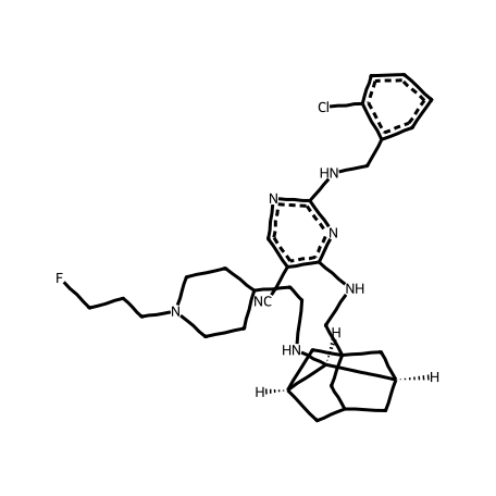 N#Cc1cnc(NCc2ccccc2Cl)nc1NCC12CC3C[C@H](C1)[C@H](NCCC1CCN(CCCF)CC1)[C@@H](C3)C2